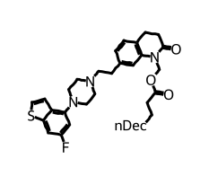 CCCCCCCCCCCCC(=O)OCN1C(=O)CCc2ccc(CCN3CCN(c4cc(F)cc5sccc45)CC3)cc21